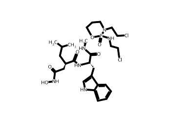 CNC(=O)[C@H](Cc1c[nH]c2ccccc12)NC(=O)[C@@H](CC(=O)NO)CC(C)C.O=P1(NCCCl)OCCCN1CCCl